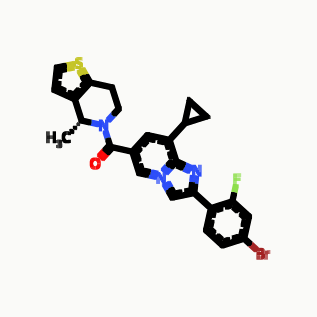 C[C@@H]1c2ccsc2CCN1C(=O)c1cc(C2CC2)c2nc(-c3ccc(Br)cc3F)cn2c1